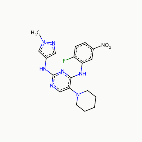 Cn1cc(Nc2ncc(N3CCCCC3)c(Nc3cc([N+](=O)[O-])ccc3F)n2)cn1